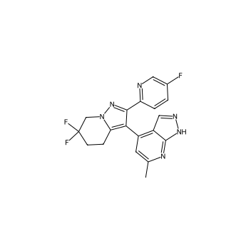 Cc1cc(-c2c(-c3ccc(F)cn3)nn3c2CCC(F)(F)C3)c2cn[nH]c2n1